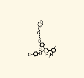 Cc1ccc(N)c(C2=CC(c3ccc(OCCCOCCN4CCOCC4)cc3)N(C(=O)Oc3ccc(Cl)cc3)CC2)c1